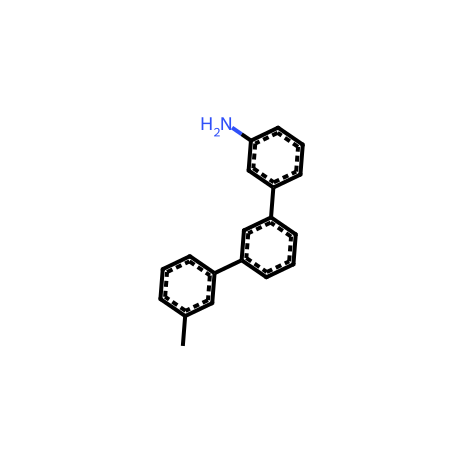 Cc1cccc(-c2cccc(-c3cccc(N)c3)c2)c1